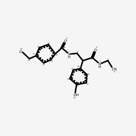 N#CCNC(=O)C(CNC(=O)c1ccc(CCl)cc1)c1ccc(O)cc1